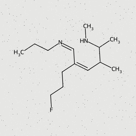 CCC/N=C\C(=C/C(C)C(C)NC)CCCF